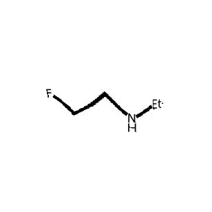 C[CH]NCCF